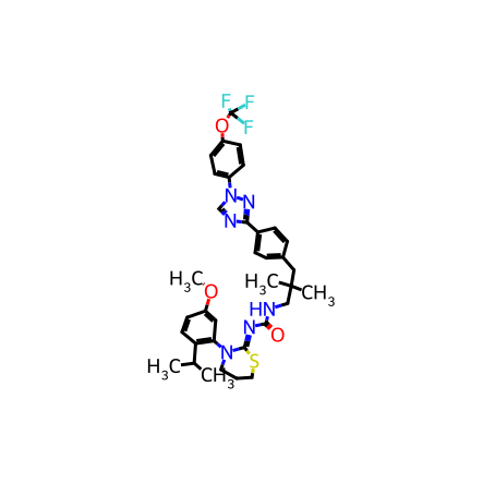 COc1ccc(C(C)C)c(N2CCCS/C2=N\C(=O)NCC(C)(C)Cc2ccc(-c3ncn(-c4ccc(OC(F)(F)F)cc4)n3)cc2)c1